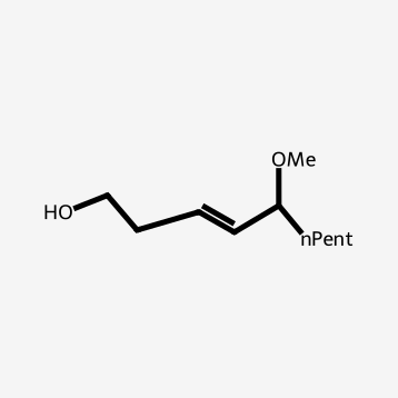 CCCCCC(C=CCCO)OC